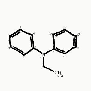 C[CH]N(c1ccccc1)c1ccccc1